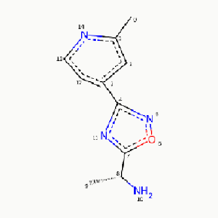 Cc1cc(-c2noc([C@@H](C)N)n2)ccn1